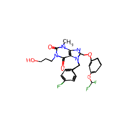 Cn1c(=O)n(CCCO)c(=O)c2c1nc(OC1=CC(OC(F)F)=CCC1)n2Cc1ccc(F)cc1